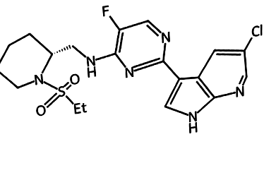 CCS(=O)(=O)N1CCCC[C@@H]1CNc1nc(-c2c[nH]c3ncc(Cl)cc23)ncc1F